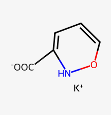 O=C([O-])C1=CC=CON1.[K+]